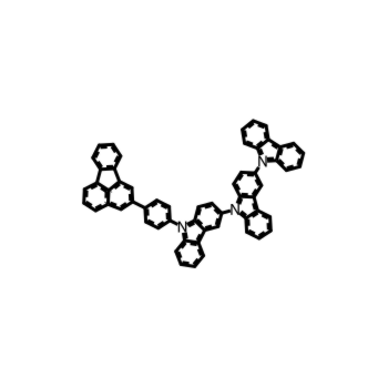 c1ccc2c(c1)-c1cccc3cc(-c4ccc(-n5c6ccccc6c6cc(-n7c8ccccc8c8cc(-n9c%10ccccc%10c%10ccccc%109)ccc87)ccc65)cc4)cc-2c13